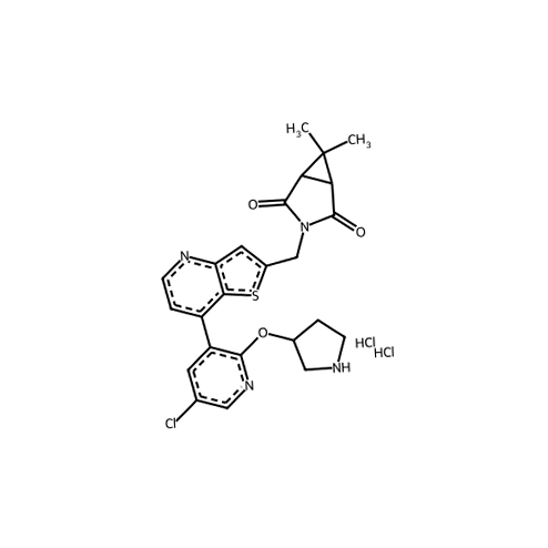 CC1(C)C2C(=O)N(Cc3cc4nccc(-c5cc(Cl)cnc5OC5CCNC5)c4s3)C(=O)C21.Cl.Cl